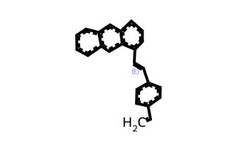 C=Cc1ccc(/C=C/c2cccc3cc4ccccc4cc23)cc1